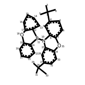 CC(C)(C)c1ccc2c(c1)N(B1c3ccccc3Oc3ccccc31)c1cc(C(C)(C)C)ccc1O2